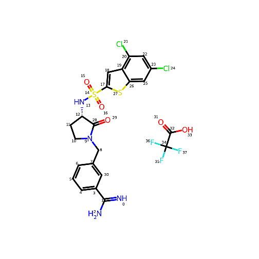 N=C(N)c1cccc(CN2CC[C@H](NS(=O)(=O)c3cc4c(Cl)cc(Cl)cc4s3)C2=O)c1.O=C(O)C(F)(F)F